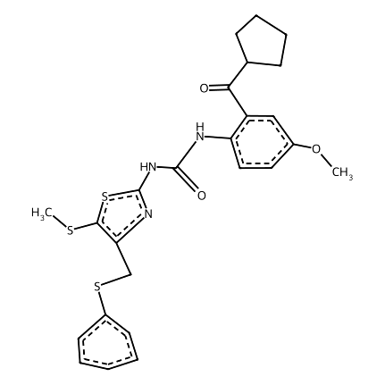 COc1ccc(NC(=O)Nc2nc(CSc3ccccc3)c(SC)s2)c(C(=O)C2CCCC2)c1